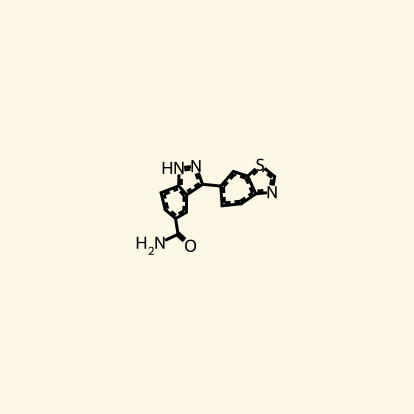 NC(=O)c1ccc2[nH]nc(-c3ccc4ncsc4c3)c2c1